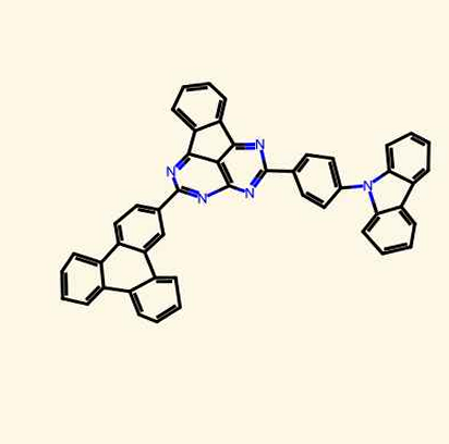 c1ccc2c(c1)-c1nc(-c3ccc(-n4c5ccccc5c5ccccc54)cc3)nc3nc(-c4ccc5c6ccccc6c6ccccc6c5c4)nc-2c13